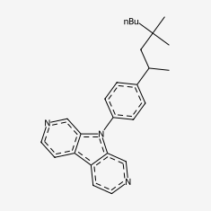 CCCCC(C)(C)CC(C)c1ccc(-n2c3cnccc3c3ccncc32)cc1